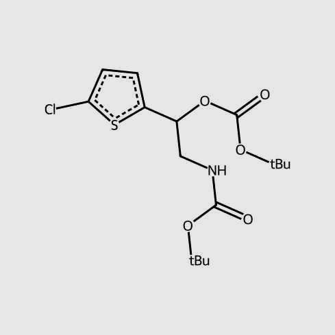 CC(C)(C)OC(=O)NCC(OC(=O)OC(C)(C)C)c1ccc(Cl)s1